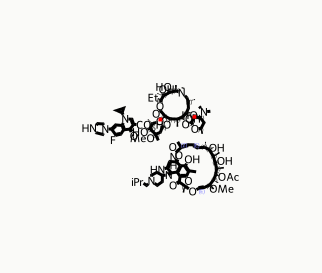 CC[C@H]1OC(=O)[C@H](C)[C@@H](O[C@H]2C[C@@](C)(OC)[C@@H](O)[C@H](C)O2)[C@H](C)[C@@H](O[C@@H]2O[C@H](C)C[C@H](N(C)C)[C@H]2O)[C@](C)(O)C[C@@H](C)CN(C)[C@H](C)[C@@H](O)[C@]1(C)O.CO[C@H]1/C=C/O[C@@]2(C)Oc3c(C)c(O)c4c(c3C2=O)C2=NC3(CCN(CC(C)C)CC3)NC2=C(NC(=O)/C(C)=C\C=C\[C@H](C)[C@H](O)[C@@H](C)[C@@H](O)[C@@H](C)[C@H](OC(C)=O)[C@@H]1C)C4=O.O=C(O)c1cn(C2CC2)c2cc(N3CCNCC3)c(F)cc2c1=O